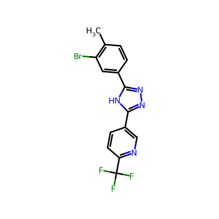 Cc1ccc(-c2nnc(-c3ccc(C(F)(F)F)nc3)[nH]2)cc1Br